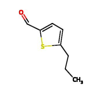 CCCc1ccc(C=O)s1